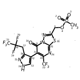 CS(=O)(=O)OCc1nn2c(=O)c(-c3c[nH]nc3CC(F)(F)C(F)(F)F)c(C(F)(F)F)nc2s1